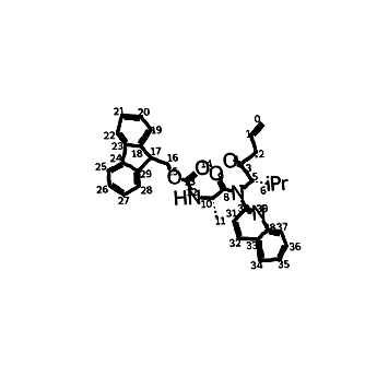 C=C[CH]C(=O)[C@H](C(C)C)N(C(=O)[C@H](C)NC(=O)OCC1c2ccccc2-c2ccccc21)c1ccc2ccccc2n1